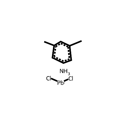 Cc1cccc(C)c1.N.[Cl][Pb][Cl]